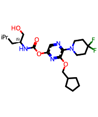 CC(C)C[C@@H](CO)NC(=O)Oc1cnc(N2CCC(F)(F)CC2)c(OCC2CCCC2)n1